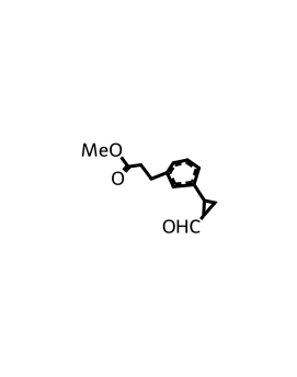 COC(=O)CCc1cccc(C2CC2C=O)c1